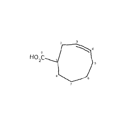 O=C(O)C1C/C=C\CCCC1